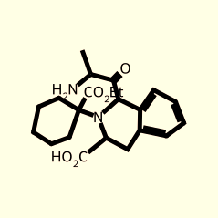 CCOC(=O)C1(N2C(C(=O)O)Cc3ccccc3C2C(=O)C(C)N)CCCCC1